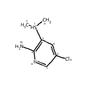 C[SH](C)c1cc(Cl)cnc1N